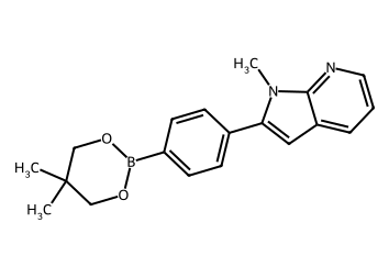 Cn1c(-c2ccc(B3OCC(C)(C)CO3)cc2)cc2cccnc21